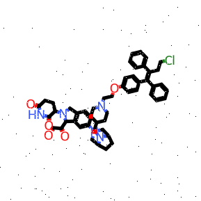 O=CC(=O)C1c2cc(N3CC4CCC(C3)N4CC3CCN(CCOc4ccc(C(=C(CCCl)c5ccccc5)c5ccccc5)cc4)CC3)ccc2CN1C1CCC(=O)NC1=O